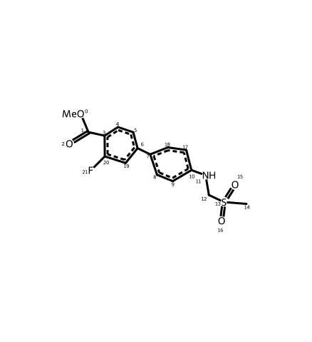 COC(=O)c1ccc(-c2ccc(NCS(C)(=O)=O)cc2)cc1F